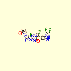 [2H]C1(N2CC[C@H](Nc3nc(OC)c4c(-c5ccc6nnn(C(CF)CF)c6c5)c(F)cn4n3)[C@@H](F)C2)COC1